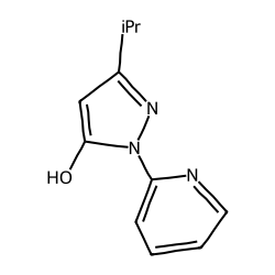 CC(C)c1cc(O)n(-c2ccccn2)n1